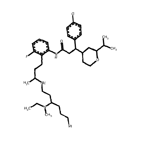 CCN(C)C(CCCS)CCNC(C)CCc1c(F)cccc1NC(=O)CC(c1ccc(Cl)cc1)C1CCOC(C(C)C)C1